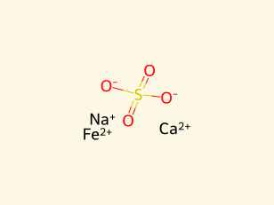 O=S(=O)([O-])[O-].[Ca+2].[Fe+2].[Na+]